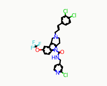 O=C(NCc1ccnc(Cl)c1)n1c2c(c3cc(OC(F)(F)F)ccc31)CN(C/C=C/c1ccc(Cl)c(Cl)c1)CC2